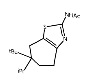 CC(=O)Nc1nc2c(s1)CC(C(C)C)(C(C)(C)C)CC2